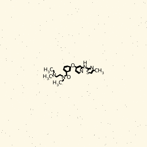 CCN(C)CCN(CC)C(=O)c1cccc(Oc2ccnc(Nc3nc(C)cs3)c2)c1